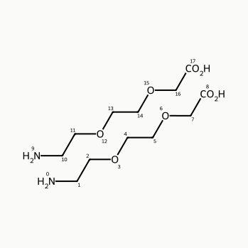 NCCOCCOCC(=O)O.NCCOCCOCC(=O)O